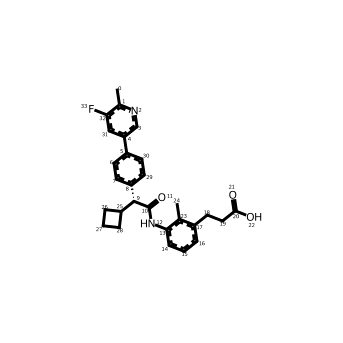 Cc1ncc(-c2ccc([C@H](C(=O)Nc3cccc(CCC(=O)O)c3C)C3CCC3)cc2)cc1F